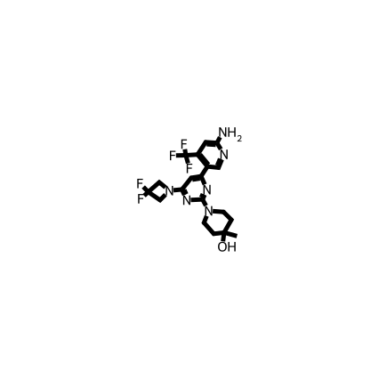 CC1(O)CCN(c2nc(-c3cnc(N)cc3C(F)(F)F)cc(N3CC(F)(F)C3)n2)CC1